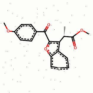 COC(=O)[C@@H](C)c1c(C(=O)c2ccc(OC)cc2)oc2ccccc12